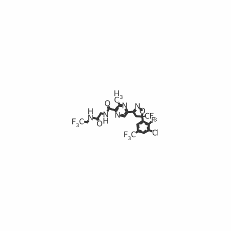 Cc1nc(C2=NO[C@@](c3cc(C(F)(F)F)cc(Cl)c3F)(C(F)(F)F)C2)cnc1C(=O)NCC(=O)NCC(F)(F)F